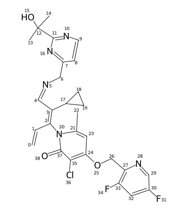 C=C/C(=C(\C=N/Cc1ccnc(C(C)(C)O)n1)C1CC1)n1c(C)cc(OCc2ncc(F)cc2F)c(Cl)c1=O